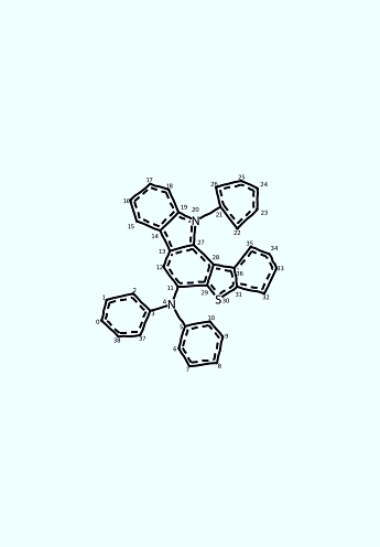 c1ccc(N(c2ccccc2)c2cc3c4ccccc4n(-c4ccccc4)c3c3c2sc2ccccc23)cc1